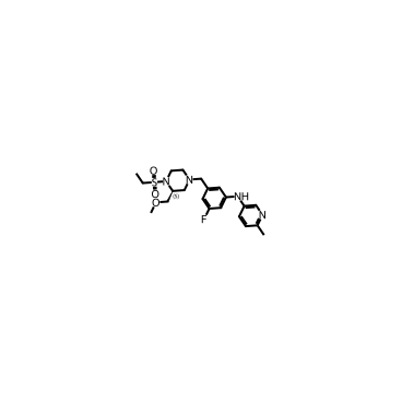 CCS(=O)(=O)N1CCN(Cc2cc(F)cc(Nc3ccc(C)nc3)c2)C[C@H]1COC